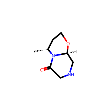 C[C@@H]1CCO[C@H]2CNCC(=O)N12